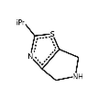 CC(C)c1nc2c(s1)CNC2